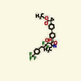 CCOC(=O)C1(c2ccc(-c3ccc(-c4onc(C)c4C(O)C(F)(F)/C=C/c4ccc(C(F)(F)F)cc4)cc3)cc2)CC1